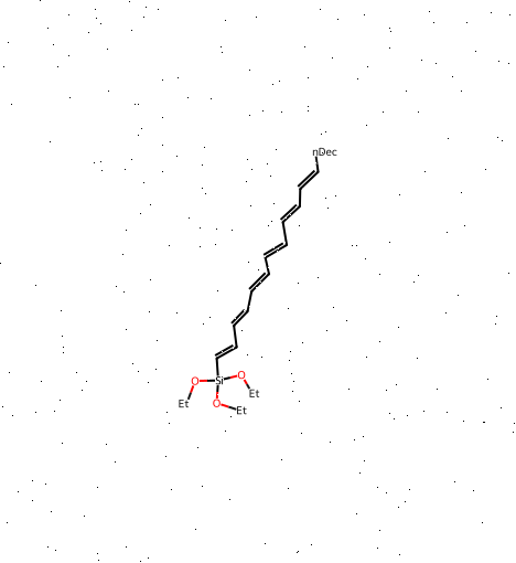 CCCCCCCCCCC=CC=CC=CC=CC=CC=C[Si](OCC)(OCC)OCC